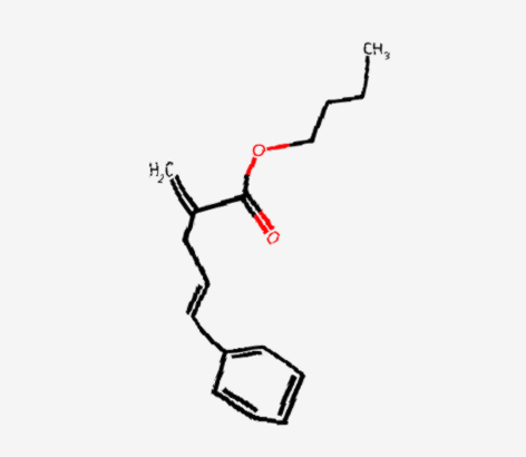 C=C(CC=Cc1ccccc1)C(=O)OCCCC